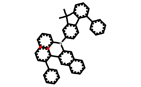 CC1(C)c2cc(N(c3ccccc3)c3cc4ccccc4cc3-c3ccccc3-c3ccccc3)ccc2-c2c(-c3ccccc3)cccc21